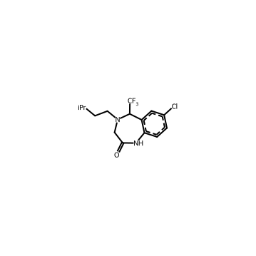 CC(C)CCN1CC(=O)Nc2ccc(Cl)cc2C1C(F)(F)F